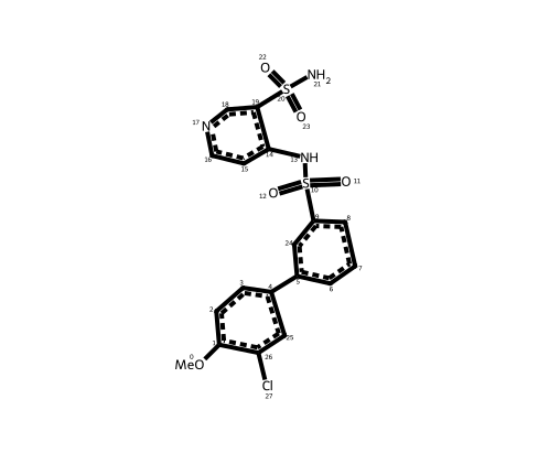 COc1ccc(-c2cccc(S(=O)(=O)Nc3ccncc3S(N)(=O)=O)c2)cc1Cl